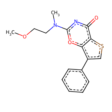 COCCN(C)c1nc(=O)c2scc(-c3ccccc3)c2o1